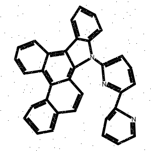 c1ccc(-c2cccc(-n3c4ccccc4c4c5ccccc5c5c6ccccc6ccc5c43)n2)nc1